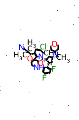 CC1C(Cl)=CC2=C(N1C(=O)[C@@H]1CC(N(C)C3CCOCC3)C[C@H]1c1ccc(F)cc1F)C1(CCNCC1)OC2C(C)(C)C#N